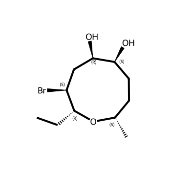 CC[C@H]1O[C@@H](C)CC[C@H](O)[C@H](O)C[C@@H]1Br